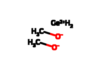 C[O-].C[O-].[GeH2+2]